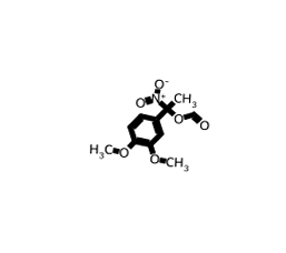 COc1ccc(C(C)(O[C]=O)[N+](=O)[O-])cc1OC